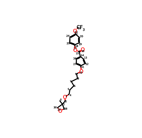 CC1(COCCCCCCOc2ccc(C(=O)Oc3ccc(OC(F)(F)F)cc3)cc2)COC1